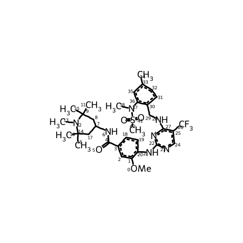 COc1cc(C(=O)NC2CC(C)(C)N(C)C(C)(C)C2)ccc1Nc1ncc(C(F)(F)F)c(NCc2ccc(C)cc2N(C)S(C)(=O)=O)n1